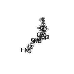 CNC(=O)c1ccc(C=CC(=O)NCC(=O)N(C)c2ccc(Cl)c(COc3cccc4c(OCCN(C)C)cc(C)nc34)c2Cl)cc1